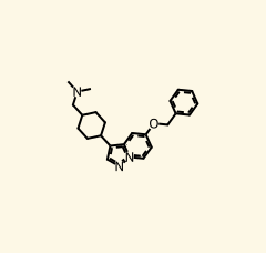 CN(C)CC1CCC(c2cnn3ccc(OCc4ccccc4)cc23)CC1